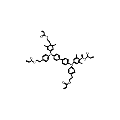 C=CC(=O)OCCc1ccc(N(c2ccc(-c3ccc(N(c4ccc(CCOC(=O)C=C)cc4)c4cc(C)c(C(=C)OC(=O)C=C)c(C)c4)cc3)cc2)c2cc(C)c(CCOC(=O)C=C)c(C)c2)cc1